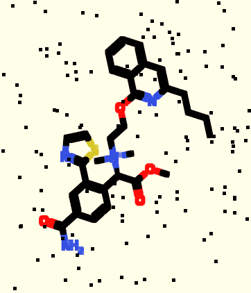 CCCCc1cc2ccccc2c(OCC[N+](C)(C)[C@@H](C(=O)OC)c2ccc(C(N)=O)cc2-c2nccs2)n1